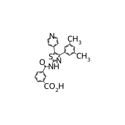 Cc1cc(C)cc(-c2nc(NC(=O)c3cccc(C(=O)O)c3)sc2-c2ccncc2)c1